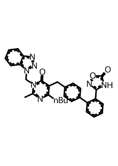 CCCCc1nc(C)n(Cn2nnc3ccccc32)c(=O)c1Cc1ccc(-c2ccccc2-c2noc(=O)[nH]2)cc1